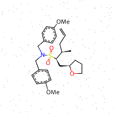 C=CC[C@@H](C)[C@@H](C[C@H]1CCCO1)S(=O)(=O)N(Cc1ccc(OC)cc1)Cc1ccc(OC)cc1